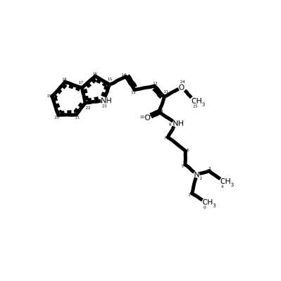 CCN(CC)CCCNC(=O)/C(=C\C=C\c1cc2ccccc2[nH]1)OC